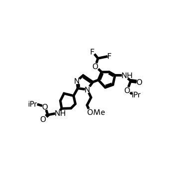 COCCn1c(-c2ccc(NC(=O)OC(C)C)cc2OC(F)F)cnc1C1CCC(NC(=O)OC(C)C)CC1